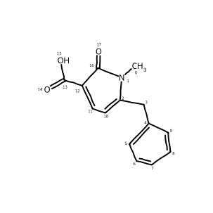 Cn1c(Cc2ccccc2)ccc(C(=O)O)c1=O